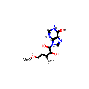 COOCCC(OC)C(O)C(O)n1cnc2c(=O)[nH]cnc21